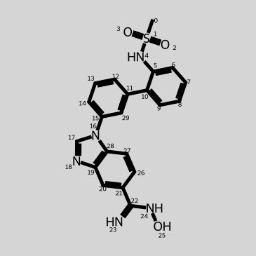 CS(=O)(=O)Nc1ccccc1-c1cccc(-n2cnc3cc(C(=N)NO)ccc32)c1